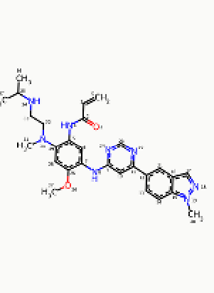 C=CC(=O)Nc1cc(Nc2cc(-c3ccc4c(cnn4C)c3)ncn2)c(OC)cc1N(C)CCNC(C)C